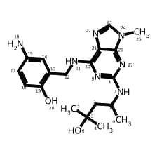 CC(CC(C)(C)O)Nc1nc(NCc2cc(N)ccc2O)c2ncn(C)c2n1